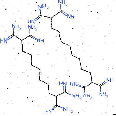 N=C(N)C(CCCCCCCC(C(=N)N)C(=N)N)C(=N)N.N=C(N)C(CCCCCCCCC(C(=N)N)C(=N)N)C(=N)N